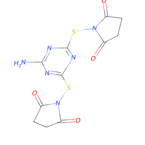 Nc1nc(SN2C(=O)CCC2=O)nc(SN2C(=O)CCC2=O)n1